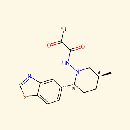 [2H]C(=O)C(=O)NN1C[C@@H](C)CC[C@@H]1c1ccc2scnc2c1